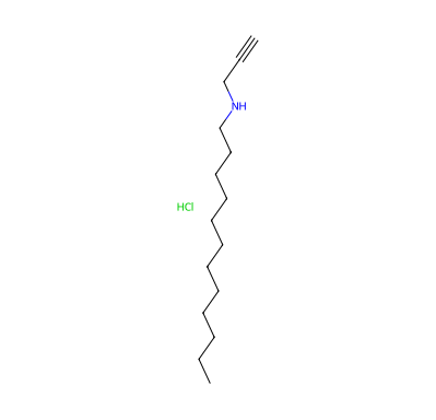 C#CCNCCCCCCCCCCCC.Cl